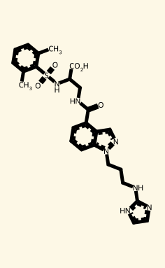 Cc1cccc(C)c1S(=O)(=O)NC(CNC(=O)c1cccc2c1cnn2CCCNc1ncc[nH]1)C(=O)O